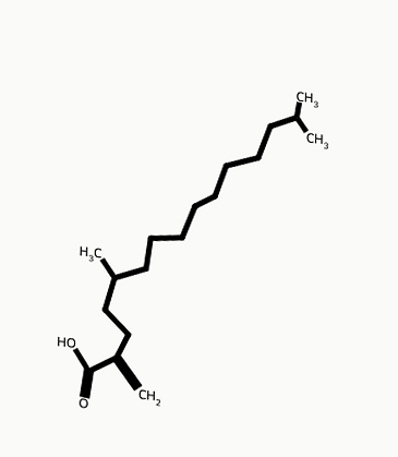 C=C(CCC(C)CCCCCCCCC(C)C)C(=O)O